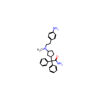 CN(CCc1ccc(N)cc1)C1CCC(C(C(N)=O)(c2ccccc2)c2ccccc2)C1